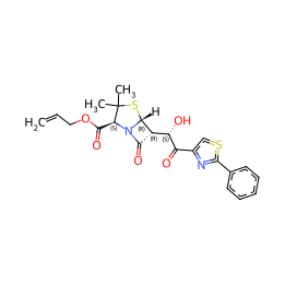 C=CCOC(=O)[C@@H]1N2C(=O)[C@@H]([C@H](O)C(=O)c3csc(-c4ccccc4)n3)[C@H]2SC1(C)C